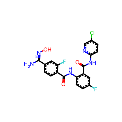 N/C(=N/O)c1ccc(C(=O)Nc2ccc(F)cc2C(=O)Nc2ccc(Cl)cn2)c(F)c1